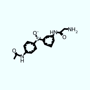 CC(=O)Nc1ccc([S+]([O-])c2cccc(NC(=O)CN)c2)cc1